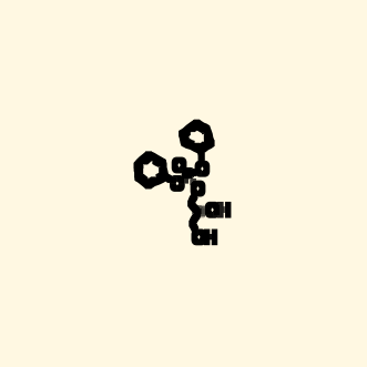 O=P(OC[C@H](O)CO)(Oc1ccccc1)Oc1ccccc1